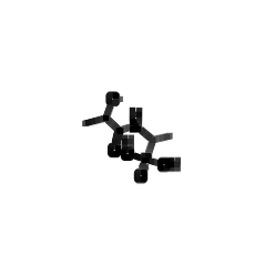 CC([O])C(=O)NC(C)P(=O)(O)O